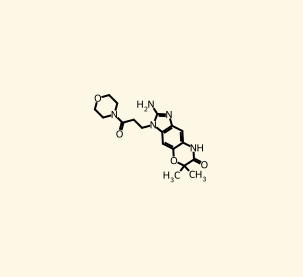 CC1(C)Oc2cc3c(cc2NC1=O)nc(N)n3CCC(=O)N1CCOCC1